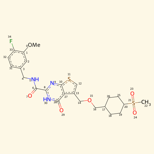 COc1cc(CNC(=O)c2nc3scc(COCC4CCC(S(C)(=O)=O)CC4)c3c(=O)[nH]2)ccc1F